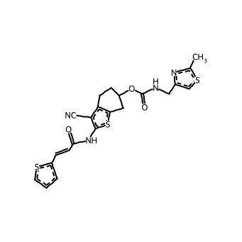 Cc1nc(CNC(=O)OC2CCc3c(sc(NC(=O)C=Cc4cccs4)c3C#N)C2)cs1